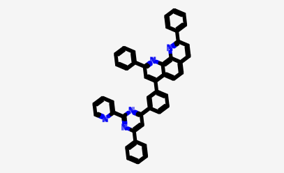 c1ccc(-c2cc(-c3cccc(-c4cc(-c5ccccc5)nc5c4ccc4ccc(-c6ccccc6)nc45)c3)nc(-c3ccccn3)n2)cc1